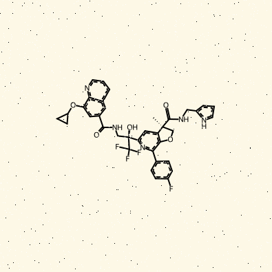 C[C@]1(C(=O)NCc2ccc[nH]2)COc2c1cc([C@@](O)(CNC(=O)c1cc(OC3CC3)c3ncccc3c1)C(F)(F)F)nc2-c1ccc(F)cc1